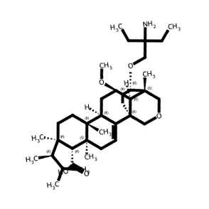 CCC(N)(CC)CO[C@H]1[C@H](OC)C[C@@]23COC[C@]1(C)[C@@H]2CC[C@H]1C3=CC[C@@]2(C)[C@H](C(=O)O)[C@@](C)([C@H](C)C(C)C)CC[C@]12C